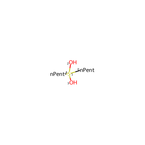 CCCCCS(O)(O)CCCCC